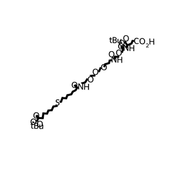 CC(C)(C)OC(=O)C(=O)CCCCCCCSCCCCCCCC(=O)NCCCOCCOCCOCCCNC(=O)COCC(=O)NC(CCC(=O)O)C(=O)OC(C)(C)C